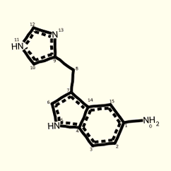 Nc1ccc2[nH]cc(Cc3c[nH]cn3)c2c1